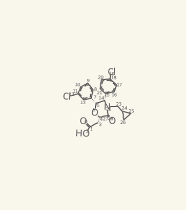 O=C(O)C[C@@H]1O[C@H](c2cccc(Cl)c2)[C@H](c2ccc(Cl)cc2)N(CC2CC2)C1=O